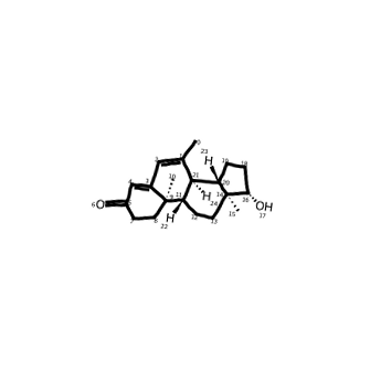 CC1=CC2=CC(=O)CC[C@]2(C)[C@H]2CC[C@]3(C)[C@@H](O)CC[C@H]3[C@H]12